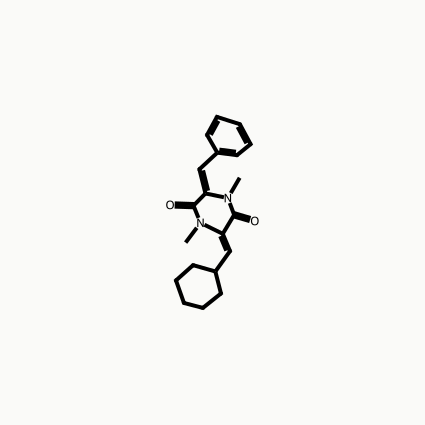 Cn1c(=O)c(=CC2CCCCC2)n(C)c(=O)c1=Cc1ccccc1